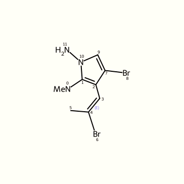 CNc1c(/C=C(\C)Br)c(Br)cn1N